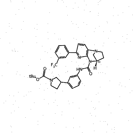 CC(C)(C)OC(=O)N1CCC(c2cccc(NC(=O)N3c4nc(-c5cccc(C(F)(F)F)c5)ccc4N4CC[C@H]3C4)c2)C1